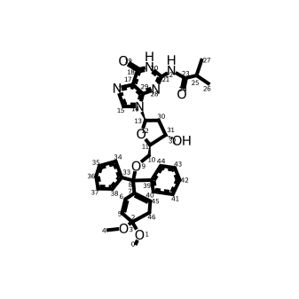 COC1(OC)C=CC(C(OC[C@H]2O[C@@H](n3cnc4c(=O)[nH]c(NC(=O)C(C)C)nc43)C[C@@H]2O)(c2ccccc2)c2ccccc2)=CC1